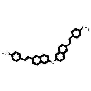 Cc1ccc(/C=C/c2ccc3cc(Oc4ccc5cc(/C=C/c6ccc(C)cc6)ccc5c4)ccc3c2)cc1